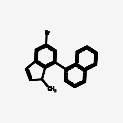 CC1C=Cc2cc(Br)cc(-c3cccc4ccccc34)c21